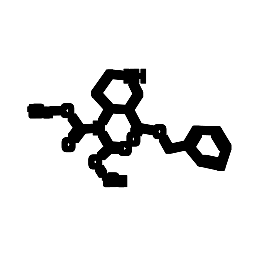 CC(C)(C)OC(=O)N(C(=O)OC(C)(C)C)C1CCNCC1C(=O)OCc1ccccc1